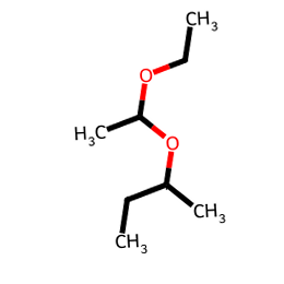 CCOC(C)O[C](C)CC